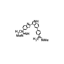 CNCN(C)c1ccc(-c2ccc3[nH]cc(C4=Nc5ccc(N(C)C(=N)NC)cc5C4)c3c2)cc1